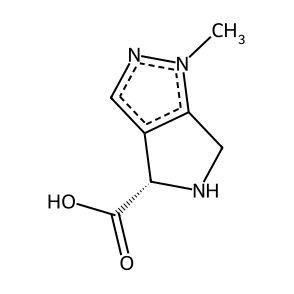 Cn1ncc2c1CN[C@@H]2C(=O)O